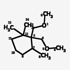 COCC1(COC)C(C)CCCC1(C)C